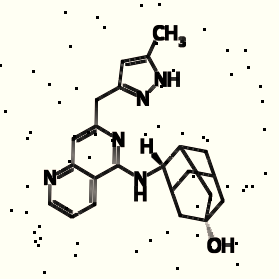 Cc1cc(Cc2cc3ncccc3c(N[C@H]3C4CC5CC3C[C@@](O)(C5)C4)n2)n[nH]1